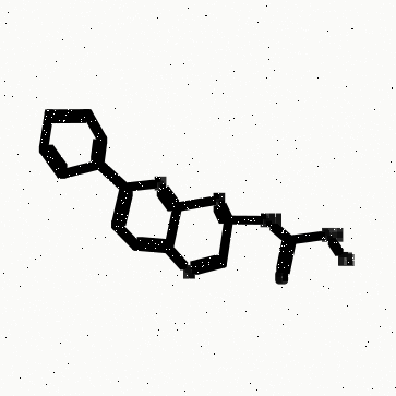 CCNC(=O)Nc1cnc2ccc(-c3ccccc3)nc2n1